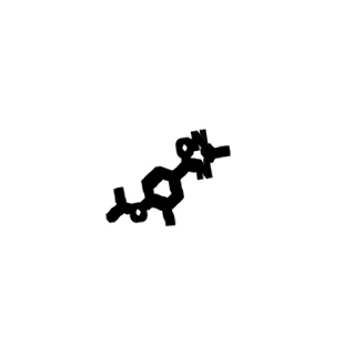 Cc1noc(-c2ccc(OC(C)C)c(C)c2)n1